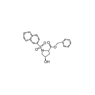 O=C(OCc1ccccc1)C1C[C@@H](O)CN1S(=O)(=O)c1ccc2ccccc2c1